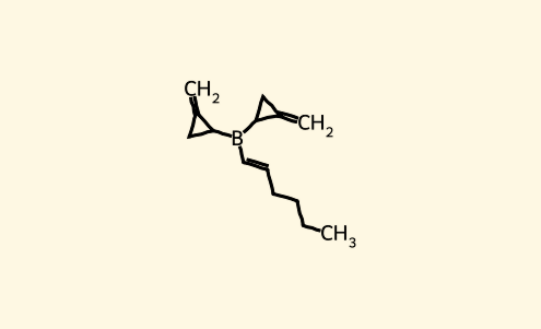 C=C1CC1B(C=CCCCC)C1CC1=C